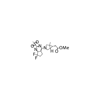 COC(=O)C[C@H]1[C@@H]2CN(c3nc(S(C)(=O)=O)nc4c3CCC4(F)F)CC12C